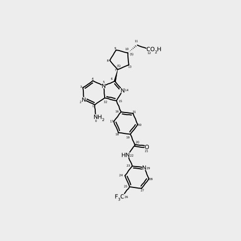 Nc1nccn2c([C@H]3CC[C@H](CC(=O)O)C3)nc(-c3ccc(C(=O)Nc4cc(C(F)(F)F)ccn4)cc3)c12